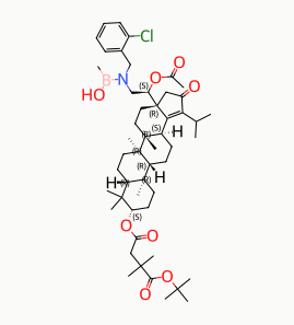 CB(O)N(Cc1ccccc1Cl)C[C@@H](OC(C)=O)[C@@]12CC[C@]3(C)[C@H](CC[C@@H]4[C@@]5(C)CC[C@H](OC(=O)CC(C)(C)C(=O)OC(C)(C)C)C(C)(C)[C@@H]5CC[C@]43C)C1=C(C(C)C)C(=O)C2